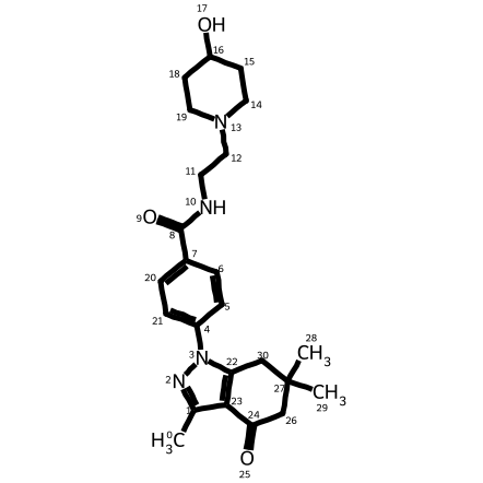 Cc1nn(-c2ccc(C(=O)NCCN3CCC(O)CC3)cc2)c2c1C(=O)CC(C)(C)C2